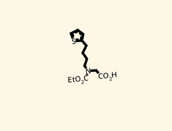 CCOC(=O)N(CCCCc1cccs1)CC(=O)O